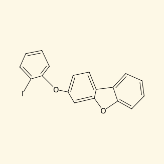 Ic1ccccc1Oc1ccc2c(c1)oc1ccccc12